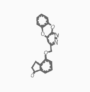 O=C1CCc2c(OCc3cc4c(nn3)Oc3ccccc3O4)cccc21